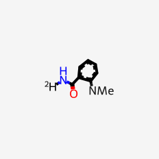 [2H]NC(=O)c1ccccc1NC